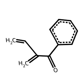 C=CC(=C)C(=O)c1ccccc1